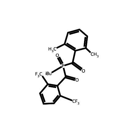 CCC(C)P(=O)(C(=O)c1c(C)cccc1C)C(=O)c1c(C(F)(F)F)cccc1C(F)(F)F